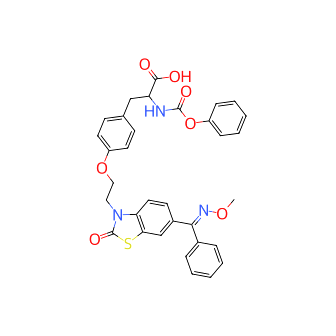 CON=C(c1ccccc1)c1ccc2c(c1)sc(=O)n2CCOc1ccc(CC(NC(=O)Oc2ccccc2)C(=O)O)cc1